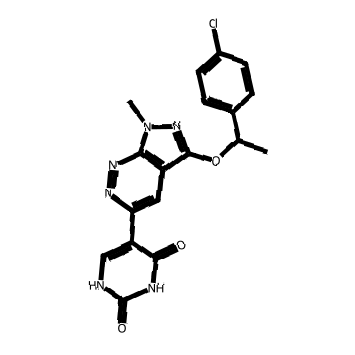 CC(Oc1nn(C)c2nnc(-c3c[nH]c(=O)[nH]c3=O)cc12)c1ccc(Cl)cc1